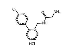 Cl.NCC(=O)NCc1ccccc1-c1ccc(Cl)cc1